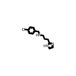 Clc1ccc(CNCCCc2ncc[nH]2)cc1